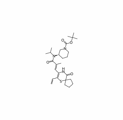 C=CC1=C(/C=C(\C)C(=O)N(C(C)C)[C@@H]2CCCN(C(=O)OC(C)(C)C)C2)NC(=O)C2(CCCC2)S1